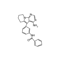 Nc1ncnc2c1c(-c1cccc(NC(=O)c3ccccc3)c1)c1n2CCCC1